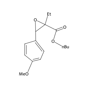 CCCCOC(=O)C1(CC)OC1c1ccc(OC)cc1